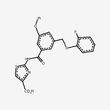 CC(C)Oc1cc(COc2ccccc2F)cc(C(=O)Nc2nc(C(=O)O)cs2)c1